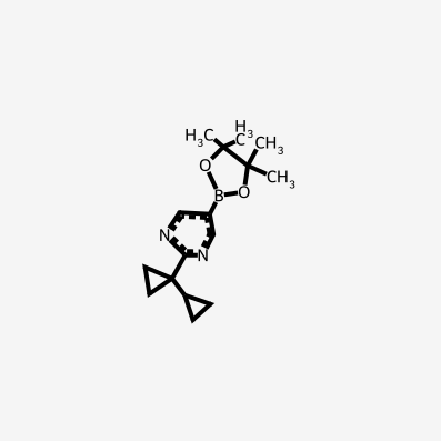 CC1(C)OB(c2cnc(C3(C4CC4)CC3)nc2)OC1(C)C